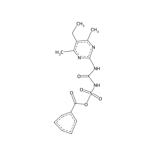 CCc1c(C)nc(NC(=O)NS(=O)(=O)OC(=O)c2ccccc2)nc1C